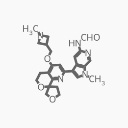 CN1CC(COc2cc(-c3cn(C)c4cnc(NC=O)cc34)nc3c2CCOC32CCOC2)C1